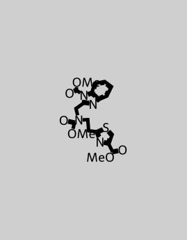 COC(=O)c1csc(CCN(Cc2nc3ccccc3n2C(=O)OC)C(=O)OC)n1